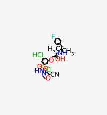 CC(C)(Cc1ccc(F)cc1)NC[C@@H](O)COc1cccc(S(=O)(=O)NN2CCOC(C#N)C2Cl)c1.Cl